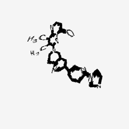 Cc1c(N2CCc3ncc(-c4ccc(-n5ccnc5)nc4)cc3C2)nn2c(=O)ccnc2c1C